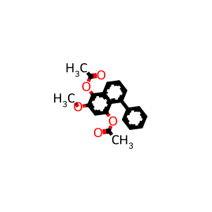 COc1cc(OC(C)=O)c2c(-c3ccccc3)cccc2c1OC(C)=O